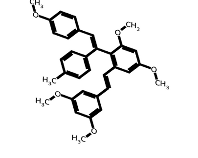 COc1ccc(/C=C(\c2ccc(C)cc2)c2c(/C=C/c3cc(OC)cc(OC)c3)cc(OC)cc2OC)cc1